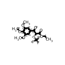 CCOC(=O)C(SC(F)(F)F)C(=O)c1cc(OC)c(OC)c(OC)c1